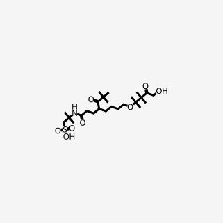 CC(C)(CS(=O)(=O)O)NC(=O)CCC(CCCCOC(C)(C)C(C)(C)C(=O)CO)C(=O)C(C)(C)C